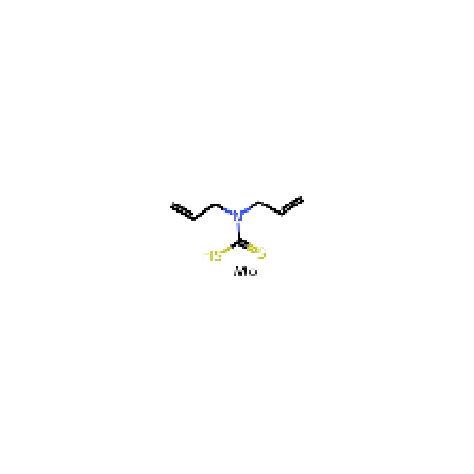 C=CCN(CC=C)C(=S)S.[Mo]